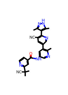 Cc1ncc(NC(=O)c2ccnc(C(C)(C)C#N)c2)cc1-c1cnc(-c2c(C)n[nH]c2C)c(C#N)c1